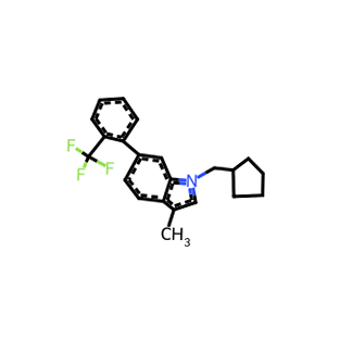 Cc1cn(CC2CCCC2)c2cc(-c3ccccc3C(F)(F)F)ccc12